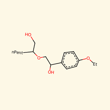 CCCCCC(CO)OCC(O)c1ccc(OCC)cc1